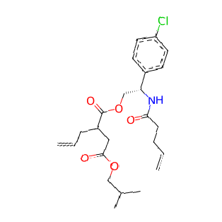 C=CCCC(=O)N[C@H](COC(=O)C(CC=C)CC(=O)OCC(C)C)c1ccc(Cl)cc1